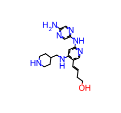 Nc1cnc(Nc2cc(NCC3CCNCC3)c(/C=C/CCO)cn2)cn1